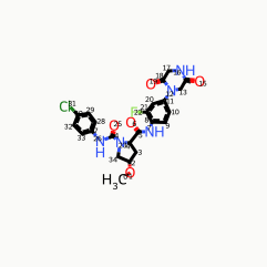 COC1CC(C(=O)Nc2ccc(N3CC(=O)NCC3=O)cc2F)N(C(=O)Nc2ccc(Cl)cc2)C1